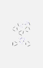 c1ccc(-c2nc(-c3ccccc3)nc(-c3cccc(-c4cccc5oc6c(c45)N=C(c4nccc5ccccc45)CC6)c3)n2)cc1